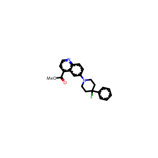 COC(=O)c1ccnc2ccc(N3CCC(F)(c4ccccc4)CC3)cc12